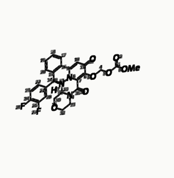 COC(=O)OCOc1c2n(ccc1=O)N([C@H](c1ccccc1)c1ccc(F)c(F)c1)[C@@H]1COCCN1C2=O